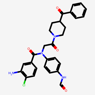 Nc1cc(C(=O)N(CC(=O)N2CCC(C(=O)c3ccccc3)CC2)c2ccc(NC=O)cc2)ccc1Cl